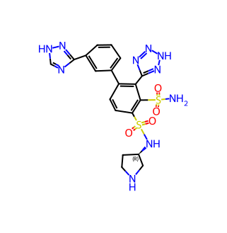 NS(=O)(=O)c1c(S(=O)(=O)N[C@@H]2CCNC2)ccc(-c2cccc(-c3nc[nH]n3)c2)c1-c1nn[nH]n1